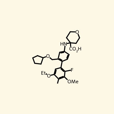 CCOc1cc(-c2ccc(NC3(C(=O)O)CCOCC3)cc2COC2CCCC2)c(F)c(OC)c1C